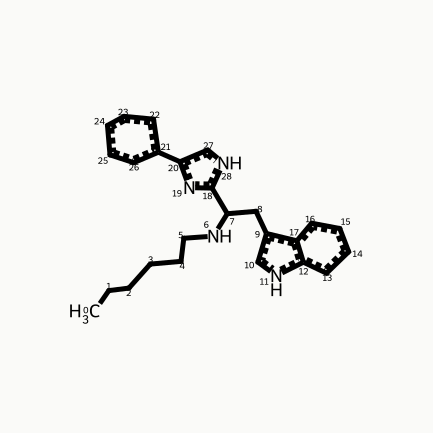 CCCCCCNC(Cc1c[nH]c2ccccc12)c1nc(-c2ccccc2)c[nH]1